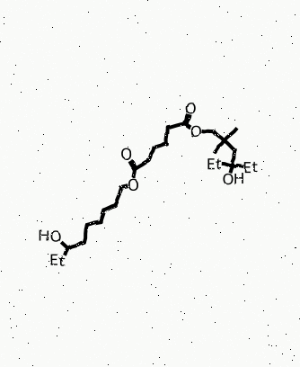 CCC(O)CCCCCCOC(=O)CCCCC(=O)OCC(C)(C)CC(O)(CC)CC